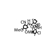 COc1cc(C#N)c(NC(=O)c2sccc2S(=O)(=O)Nc2onc(C)c2Cl)cc1OC